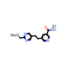 CCNC(=O)c1cncc(CCc2cnc(COC)nc2)c1